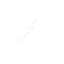 Cl.Cn1cc(-c2ccc(N(C(=O)NCc3ccccc3)[C@H]3CC[C@H](N)CC3)cc2)cn1